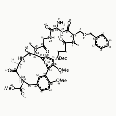 CCCCCCCCCCCCC(=O)N(C)[C@H](COCc1ccccc1)C(=O)N[C@H](N)C(=O)NCC(=O)N(C)[C@@H]1C(=O)N[C@@H](C)C(=O)N[C@H](C(=O)OC)Cc2ccc(OC)c(c2)-c2cc1ccc2OC